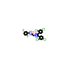 O=C(Cn1nc(-c2ccc(Cl)cc2Cl)c(-c2ccc(Cl)cc2Cl)n1)NCc1cc(F)ccc1F